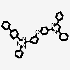 c1ccc(-c2ccc(-c3nc(-c4ccccc4)nc(-c4cccc(Oc5ccc(-c6nc(-c7ccccc7)cc(-c7ccccc7)n6)cc5)c4)n3)cc2)cc1